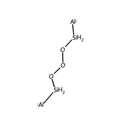 [Al][SiH2]OOO[SiH2][Al]